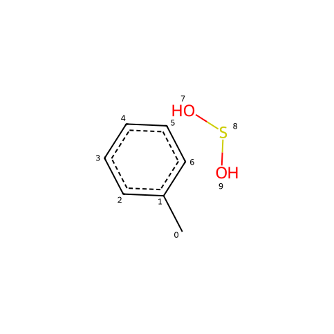 Cc1ccccc1.OSO